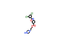 O=C(OCCCN1CCNCC1)c1ccc2nc(-c3cc(Cl)cc(Cl)c3)oc2c1